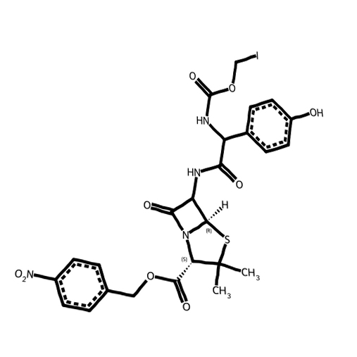 CC1(C)S[C@@H]2C(NC(=O)C(NC(=O)OCI)c3ccc(O)cc3)C(=O)N2[C@H]1C(=O)OCc1ccc([N+](=O)[O-])cc1